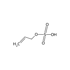 C=CCOS(=O)(=O)O